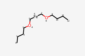 CCCCO[CH2][Fe][CH2]OCCCC